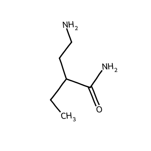 CCC(CCN)C(N)=O